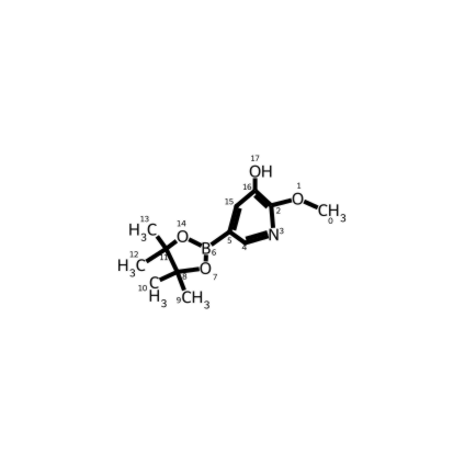 COc1ncc(B2OC(C)(C)C(C)(C)O2)cc1O